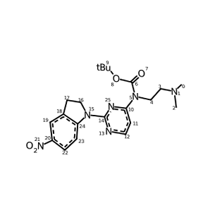 CN(C)CCN(C(=O)OC(C)(C)C)c1ccnc(N2CCc3cc([N+](=O)[O-])ccc32)n1